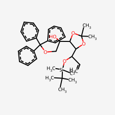 C=CC(O[Si](C)(C)C(C)(C)C)C1OC(C)(C)OC1C(O)COC(c1ccccc1)(c1ccccc1)c1ccccc1